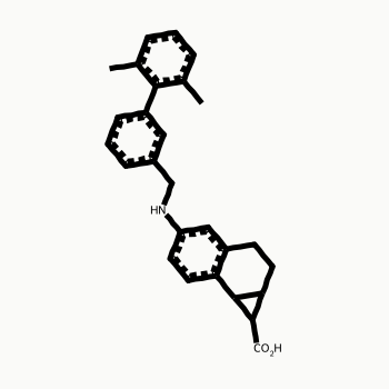 Cc1cccc(C)c1-c1cccc(CNc2ccc3c(c2)CCC2C(C(=O)O)C32)c1